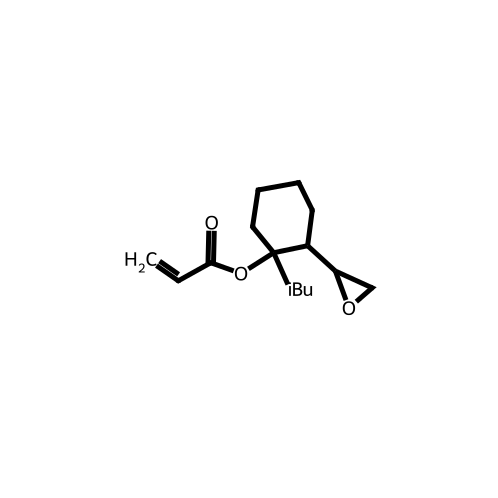 C=CC(=O)OC1(C(C)CC)CCCCC1C1CO1